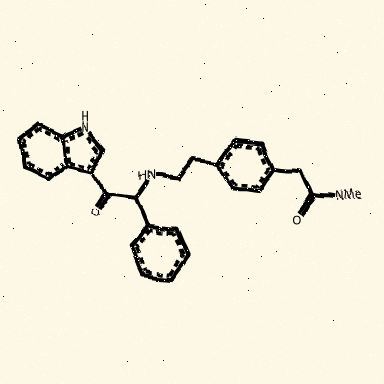 CNC(=O)Cc1ccc(CCNC(C(=O)c2c[nH]c3ccccc23)c2ccccc2)cc1